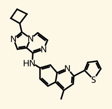 Cc1cc(-c2cccs2)nc2cc(Nc3nccn4c(C5CCC5)ncc34)ccc12